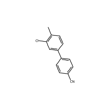 Cc1ccc(-c2ccc(C#N)cc2)cc1Cl